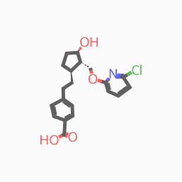 O=C(O)c1ccc(CC[C@H]2CC[C@@H](O)[C@@H]2COc2cccc(Cl)n2)cc1